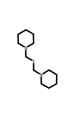 C1CCN(CSCN2CCCCC2)CC1